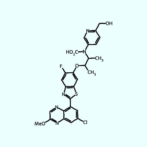 COc1cnc2c(-c3nc4cc(F)c(OC(C)C(C)N(C(=O)O)c5ccc(CO)nc5)cc4s3)cc(Cl)cc2n1